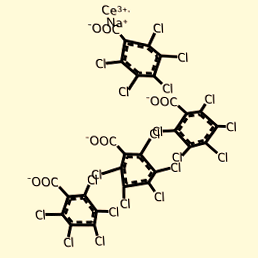 O=C([O-])c1c(Cl)c(Cl)c(Cl)c(Cl)c1Cl.O=C([O-])c1c(Cl)c(Cl)c(Cl)c(Cl)c1Cl.O=C([O-])c1c(Cl)c(Cl)c(Cl)c(Cl)c1Cl.O=C([O-])c1c(Cl)c(Cl)c(Cl)c(Cl)c1Cl.[Ce+3].[Na+]